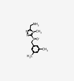 Cc1cc(C)cc(C[S+]([O-])c2nnc(CN)n2C)c1